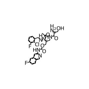 CC(=O)N(NCc1cccc(F)c1Cl)[C@@H](CNC(=O)[C@H](N)CO)COC(=O)Nc1cc2cc(F)ccc2cn1